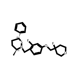 C[C@H]1CC[C@H](c2ccccc2)SN1Cc1ccc(OCC2(F)CCOCC2)cc1F